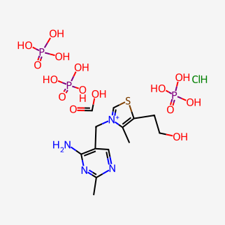 Cc1ncc(C[n+]2csc(CCO)c2C)c(N)n1.Cl.O=CO.O=P(O)(O)O.O=P(O)(O)O.O=P(O)(O)O